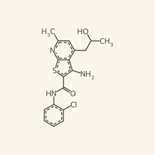 Cc1cc(CC(C)O)c2c(N)c(C(=O)Nc3ccccc3Cl)sc2n1